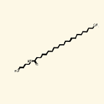 CCCCCCCCC=CCCCCCCCCCCCC(=O)NCCCCO